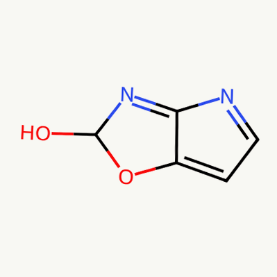 OC1N=C2N=CC=C2O1